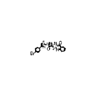 Nn1c(SCC(=O)Nc2nc(-c3ccc(Br)cc3)cs2)nc2ccccc2c1=O